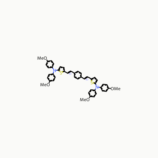 COc1ccc(N(c2ccc(OC)cc2)c2ccc(/C=C/c3ccc(/C=C/c4ccc(N(c5ccc(OC)cc5)c5ccc(OC)cc5)s4)cc3)s2)cc1